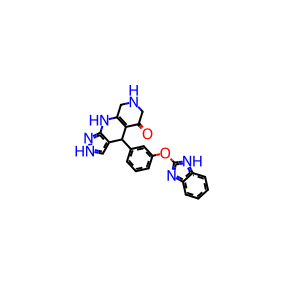 O=C1CNCC2=C1C(c1cccc(Oc3nc4ccccc4[nH]3)c1)c1c[nH]nc1N2